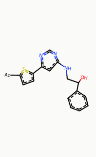 CC(=O)c1ccc(-c2cc(NCC(O)c3ccccc3)ncn2)s1